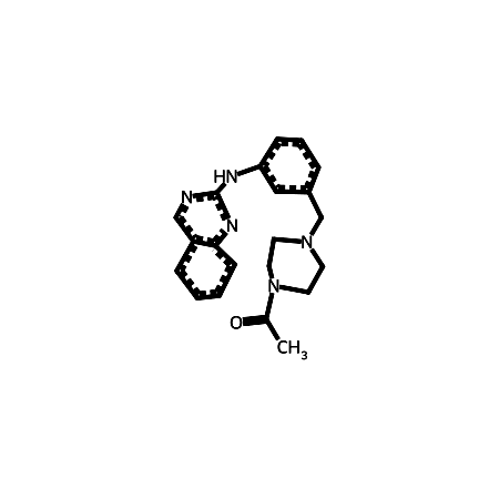 CC(=O)N1CCN(Cc2cccc(Nc3ncc4ccccc4n3)c2)CC1